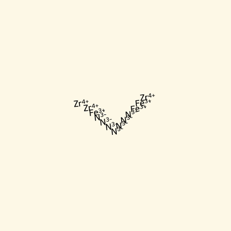 [Fe+3].[Fe+3].[Fe+3].[N-3].[N-3].[N-3].[N-3].[N-3].[N-3].[N-3].[Zr+4].[Zr+4].[Zr+4]